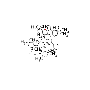 CC(C)(C)c1ccc2c(c1)B1c3sc4cc5c(cc4c3N(c3ccc4c(c3)C(C)(C)CCC4(C)C)c3cc(C4CCCCC4)cc(c31)N2c1ccc(C(C)(C)C)cc1-c1ccccc1)C(C)(C)CCC5(C)C